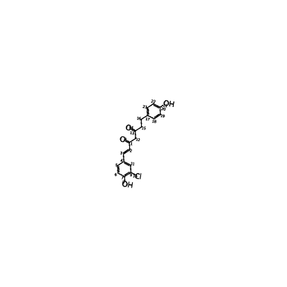 O=C(C=Cc1ccc(O)c(Cl)c1)CC(=O)CCc1ccc(O)cc1